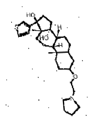 C[C@]12CCC(OCCN3CCCC3)CC1CC[C@@H]1[C@H]2CC[C@]2(C)C(O)(c3ccsc3)CC[C@@]12O